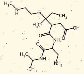 CCC(C)(SCCNC)C(CC(=O)O)C(=O)NC(CN)C(=O)NC(C)C